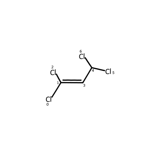 ClC(Cl)=CC(Cl)Cl